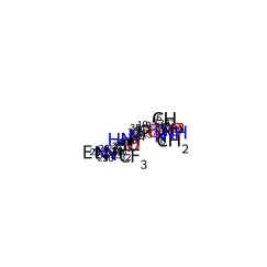 C=NC1=C(/C(=C\C)Oc2ccc3c(c2)CN(C(=O)Nc2ccc(CN4CCN(CC)CC4)c(C(F)(F)F)c2)CC3)CCC(=O)N1